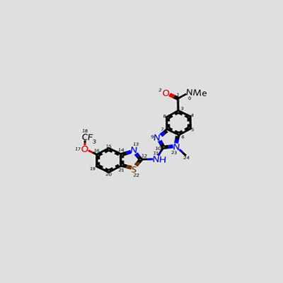 CNC(=O)c1ccc2c(c1)nc(Nc1nc3cc(OC(F)(F)F)ccc3s1)n2C